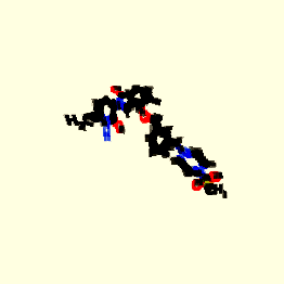 C=C1CCC(N2Cc3c(OCc4cccc(CN5CCN(S(C)(=O)=O)CC5)c4)cccc3C2=O)C(=O)N1